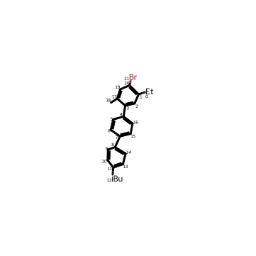 CCc1cc(-c2ccc(-c3ccc(C(C)CC)cc3)cc2)c(C)cc1Br